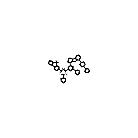 CC1(C)c2ccccc2-c2ccc(-c3nc(-c4ccccc4)nc(-c4cc(-c5ccccc5)cc(-c5cccc6c5Cc5c(-c7ccc(-c8ccccc8)cc7)cccc5-6)c4)n3)cc21